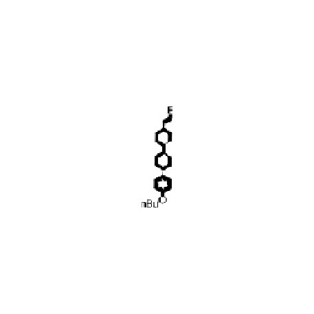 CCCCOc1ccc([C@H]2CC[C@H]([C@H]3CC[C@H](C=CF)CC3)CC2)cc1